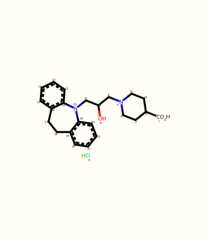 Cl.O=C(O)C1CCN(CC(O)CN2c3ccccc3CCc3ccccc32)CC1